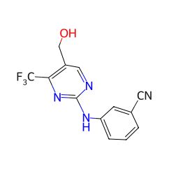 N#Cc1cccc(Nc2ncc(CO)c(C(F)(F)F)n2)c1